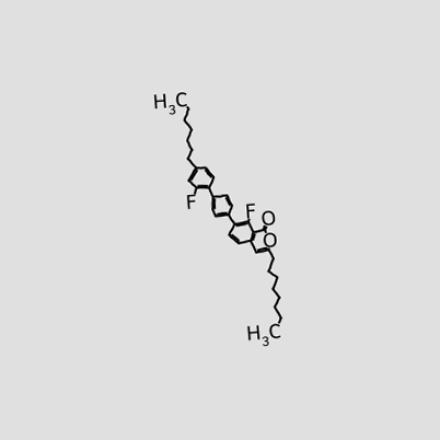 CCCCCCCCc1cc2ccc(-c3ccc(-c4ccc(CCCCCCC)cc4F)cc3)c(F)c2c(=O)o1